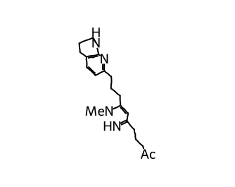 CN/C(=C\C(=N)CCCC(C)=O)CCCc1ccc2c(n1)NCCC2